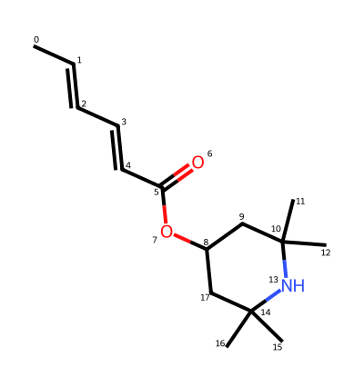 CC=CC=CC(=O)OC1CC(C)(C)NC(C)(C)C1